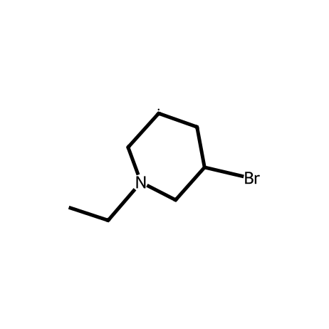 CCN1C[CH]CC(Br)C1